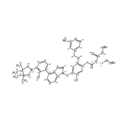 CC(C)(C)OC[C@H](NCc1cc(Cl)c(Cn2ncc3c(-c4cccc(B5OC(C)(C)C(C)(C)O5)c4Cl)cccc32)cc1OCc1cncc(C#N)c1)C(=O)OC(C)(C)C